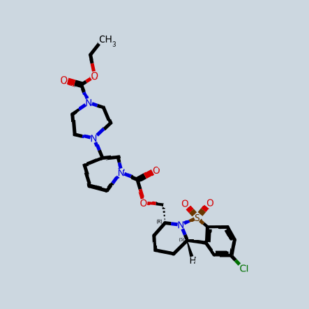 CCOC(=O)N1CCN(C2CCCN(C(=O)OC[C@H]3CCC[C@H]4c5cc(Cl)ccc5S(=O)(=O)N34)C2)CC1